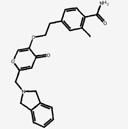 Cc1cc(CCOc2coc(CN3Cc4ccccc4C3)cc2=O)ccc1C(N)=O